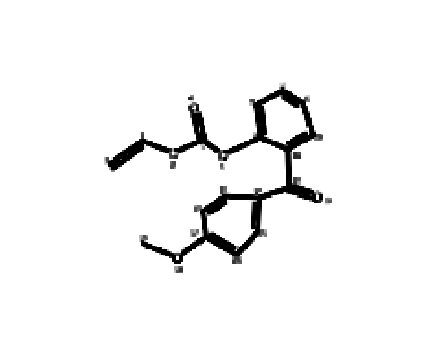 C=COC(=O)Oc1ccccc1C(=O)c1ccc(OC)cc1